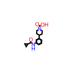 O=C(Nc1cccc(C2CCN(C(=O)O)CC2)c1)C1CC1